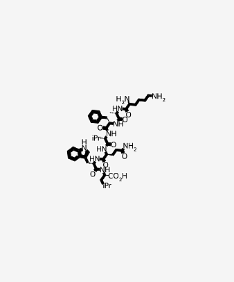 CC(C)C[C@H](NC(=O)[C@H](Cc1c[nH]c2ccccc12)NC(=O)[C@H](CCC(N)=O)NC(=O)[C@@H](NC(=O)[C@H](Cc1ccccc1)NC(=O)[C@H](C)NC(=O)[C@@H](N)CCCCN)C(C)C)C(=O)O